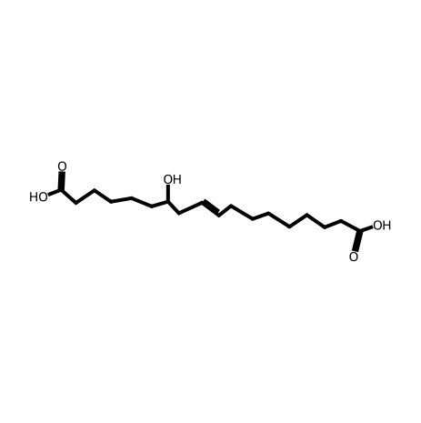 O=C(O)CCCCCCC/C=C/CC(O)CCCCCC(=O)O